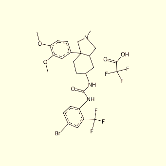 COc1ccc(C23CCC(NC(=O)Nc4ccc(Br)cc4C(F)(F)F)CC2CN(C)C3)cc1OC.O=C(O)C(F)(F)F